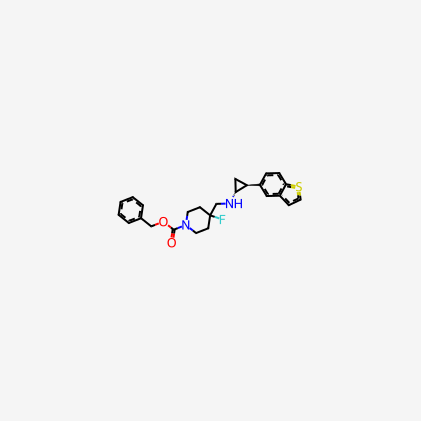 O=C(OCc1ccccc1)N1CCC(F)(CN[C@@H]2C[C@H]2c2ccc3sccc3c2)CC1